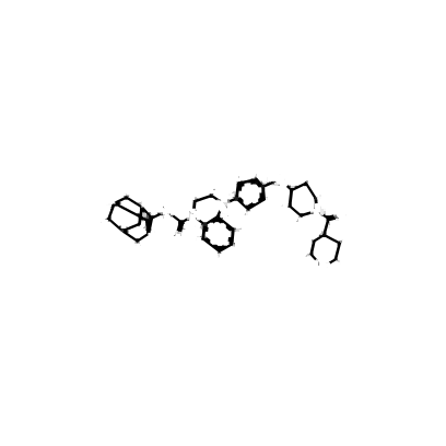 O=C(C1CCOCC1)N1CCC(Oc2ccc(N3CCN(C(=O)NC4C5CC6CC(C5)CC4C6)c4ccccc43)cc2)CC1